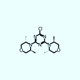 C[C@H]1COC[C@H](C)N1c1nc(Cl)nc(N2[C@@H](C)COC[C@@H]2C)n1